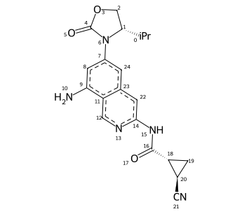 CC(C)[C@H]1COC(=O)N1c1cc(N)c2cnc(NC(=O)[C@@H]3C[C@H]3C#N)cc2c1